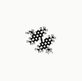 CCC(CC)N1C(=O)c2ccc3c4c(C#Cc5cc6c7c(ccc8c9c(OC(C)(CC)CO)cc%10c%11c(ccc(c5c78)c%119)C(=O)N(C(CC)CC)C%10=O)C(=O)N(C(CC)CC)C6=O)cc5c6c(cc(OC(C)(C)CC)c(c7ccc(c2c37)C1=O)c64)C(=O)N(C(CC)CC)C5=O